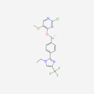 CCn1cc(C(F)(F)F)nc1-c1ccc([C@@H](C)Oc2nc(Cl)ncc2OC)cc1